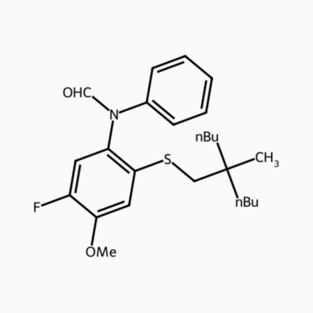 CCCCC(C)(CCCC)CSc1cc(OC)c(F)cc1N(C=O)c1ccccc1